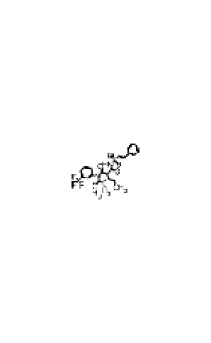 C=CCC(C(=O)NS(=O)(=O)C=Cc1ccccc1)C(=O)N(c1cccc(C(F)(F)F)c1)C(C)C